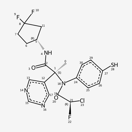 C[C@@](C(=O)N[C@@H]1CCC(F)(F)C1)(c1cncnc1)N(C(=O)[C@H](F)Cl)c1ccc(S)cc1